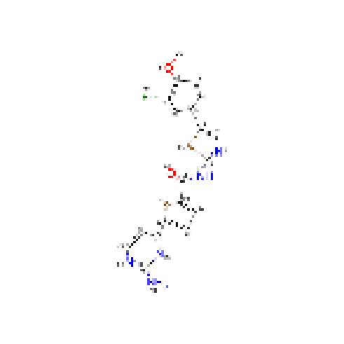 COc1ccc(-c2cnc(NC(=O)c3ccc(-c4ccnc(N)n4)s3)s2)cc1Br